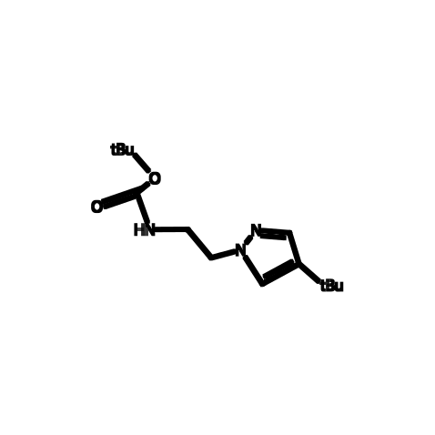 CC(C)(C)OC(=O)NCCn1cc(C(C)(C)C)cn1